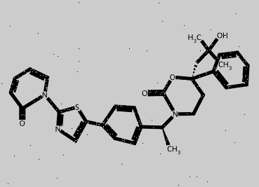 C[C@@H](c1ccc(-c2cnc(-n3ccccc3=O)s2)cc1)N1CC[C@](CC(C)(C)O)(c2ccccc2)OC1=O